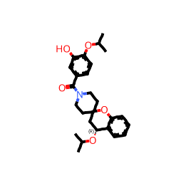 CC(C)Oc1ccc(C(=O)N2CCC3(CC2)C[C@@H](OC(C)C)c2ccccc2O3)cc1O